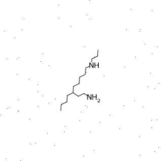 CCCCC(CCN)CCCCCNCCC